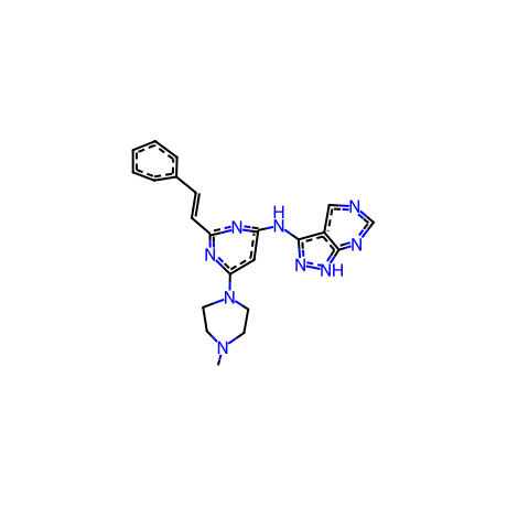 CN1CCN(c2cc(Nc3n[nH]c4ncncc34)nc(/C=C/c3ccccc3)n2)CC1